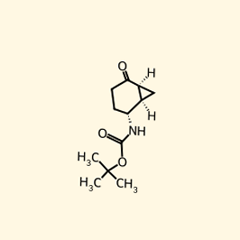 CC(C)(C)OC(=O)N[C@@H]1CCC(=O)[C@H]2C[C@H]21